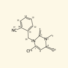 C=C1N(C)C(=O)C=C(Cl)N1Cc1ccccc1C#N